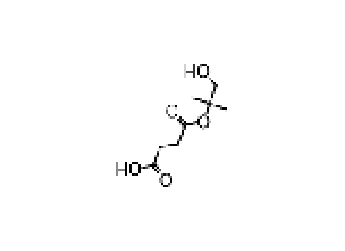 CC(C)(CO)OC(=O)CCC(=O)O